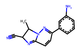 CC1C(C#N)N=C2C=CC(c3cccc(N)c3)=NN21